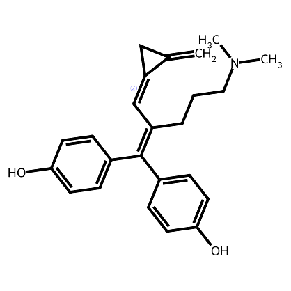 C=C1C/C1=C/C(CCCN(C)C)=C(c1ccc(O)cc1)c1ccc(O)cc1